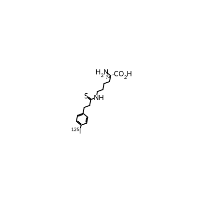 N[C@@H](CCCCNC(=S)CCc1ccc([125I])cc1)C(=O)O